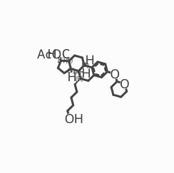 CC(=O)O[C@H]1CC[C@H]2[C@@H]3[C@H](CCCCCO)Cc4cc(OC5CCCCO5)ccc4[C@H]3CC[C@]12C